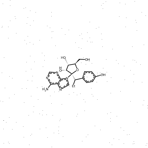 CCC(c1ccc(O)cc1)[C@@]1(n2cnc3c(N)ncnc32)O[C@H](CO)[C@@H](O)[C@H]1O